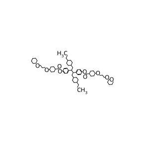 CCCC1CCC(CC(c2ccc(OC(=O)C3CCC(OCCCOC4CCCCC4)CC3)cc2)C(CC2CCC(CCC)CC2)c2ccc(OC(=O)C3CCC(OCCCOC4CCCCO4)CC3)cc2)CC1